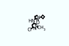 Cn1nc(Cl)cc(Nc2ccn(C3CCC3)n2)c1=O